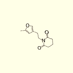 Cc1cc(CCN2C(=O)CCCC2=O)co1